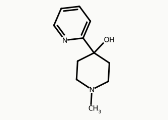 CN1CCC(O)(c2ccccn2)CC1